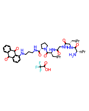 CCC[C@H](N)C(=O)N[C@@H](CC(C)C)C(=O)NCC(=O)N[C@@H](CC(C)C)C(=O)N1CCC[C@H]1C(=O)NCCCNc1cccc2c1C(=O)c1ccccc1C2=O.O=C(O)C(F)(F)F